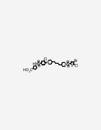 O=C(O)C1CCC(NS(=O)(=O)c2ccc(N3CCC(CCCCC4CCN(S(=O)(=O)c5cc(Br)c(Cl)s5)CC4)CC3)c(Cl)c2)C1